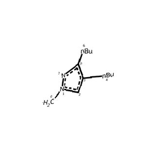 [CH2]n1cc(CCCC)c(CCCC)n1